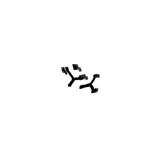 N.NC(N)=O.O=S(O)O